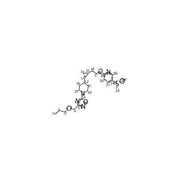 CCCOCc1noc(N2CCC(C3CC3CCOc3ccc([S+](C)[O-])cn3)CC2)n1